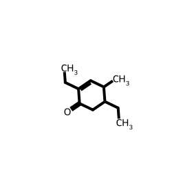 CCC1=CC(C)C(CC)CC1=O